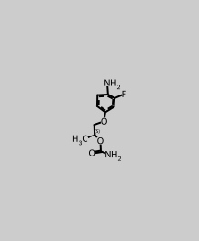 C[C@@H](COc1ccc(N)c(F)c1)OC(N)=O